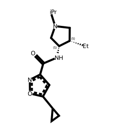 CC[C@H]1CN(C(C)C)C[C@H]1NC(=O)c1cc(C2CC2)on1